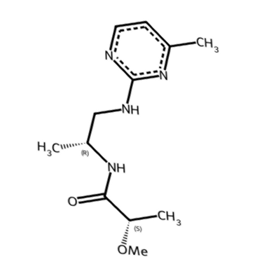 CO[C@@H](C)C(=O)N[C@H](C)CNc1nccc(C)n1